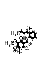 CCCC(C)c1ccccc1NC(=O)c1c(O)c(OC)c(OC)[nH]c1=O